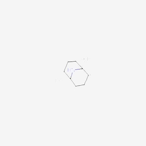 C[C@]12CCC[C@](C)(CCC1)N2